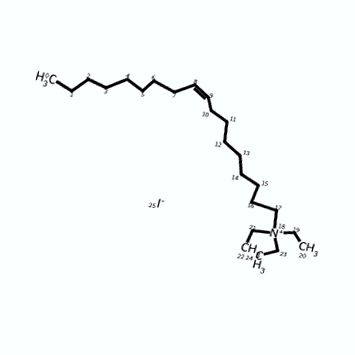 CCCCCCCC/C=C\CCCCCCCC[N+](CC)(CC)CC.[I-]